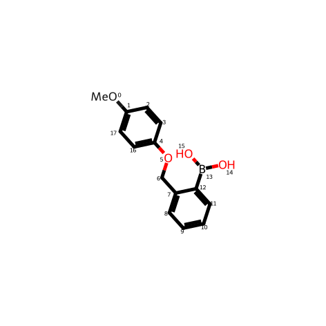 COc1ccc(OCc2ccccc2B(O)O)cc1